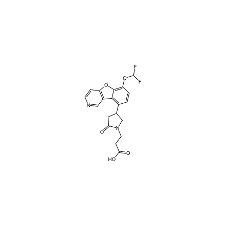 O=C(O)CCN1CC(c2ccc(OC(F)F)c3oc4ccncc4c23)CC1=O